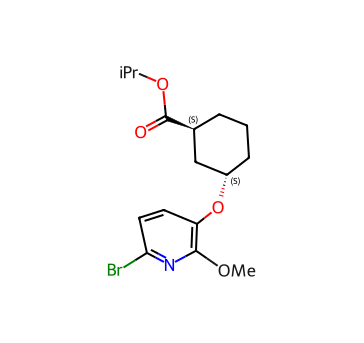 COc1nc(Br)ccc1O[C@H]1CCC[C@H](C(=O)OC(C)C)C1